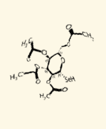 CC(=O)OC[C@@H]1O[C@H]([SeH])[C@@H](OC(C)=O)[C@H](OC(C)=O)[C@H]1OC(C)=O